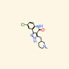 CN1CCCC(Cc2[nH]nc3c2c(=O)[nH]c2ccc(Cl)cc23)C1